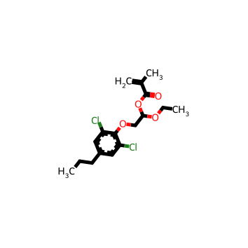 C=C(C)C(=O)OC(COc1c(Cl)cc(CCC)cc1Cl)OCC